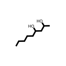 CCCCCC(O)CC(C)O